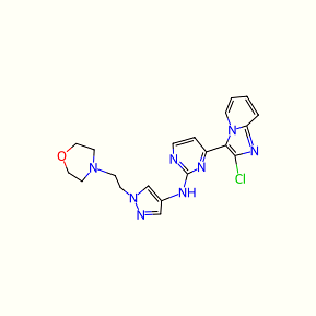 Clc1nc2ccccn2c1-c1ccnc(Nc2cnn(CCN3CCOCC3)c2)n1